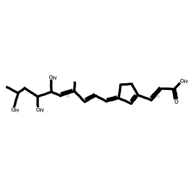 C/C(C=CC=C1C=C(/C=C/C(=O)O)CC1)=C\C(O)C(O)CC(C)O